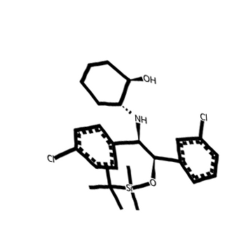 CC(C)(C)[Si](C)(C)O[C@H](c1cccc(Cl)c1)[C@H](N[C@@H]1CCCC[C@H]1O)c1ccc(Cl)cc1